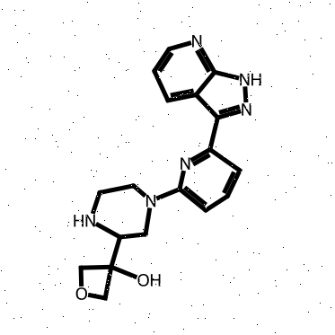 OC1(C2CN(c3cccc(-c4n[nH]c5ncccc45)n3)CCN2)COC1